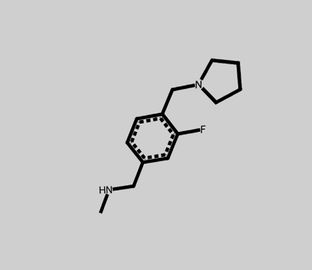 CNCc1ccc(CN2CCCC2)c(F)c1